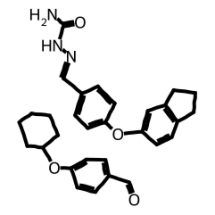 NC(=O)NN=Cc1ccc(Oc2ccc3c(c2)CCC3)cc1.O=Cc1ccc(OC2CCCCC2)cc1